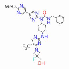 COc1ncc(-c2cnc(N(C(=O)NCc3ccccc3)[C@H]3CC[C@H](Nc4ncc(C(F)(F)F)c(N5CC(F)(CO)C5)n4)CC3)nc2)cn1